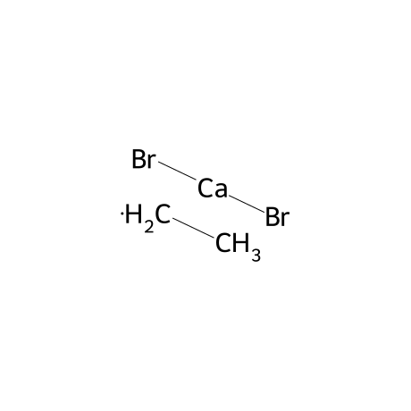 [Br][Ca][Br].[CH2]C